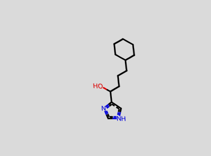 OC(CCCC1CCCCC1)c1c[nH]cn1